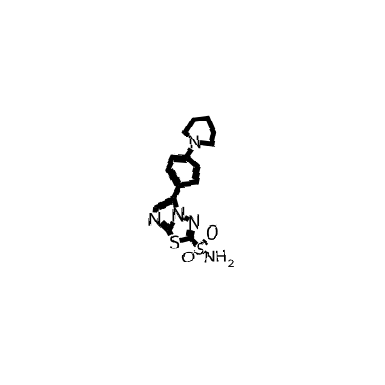 NS(=O)(=O)c1nn2c(-c3ccc(N4CCCCC4)cc3)cnc2s1